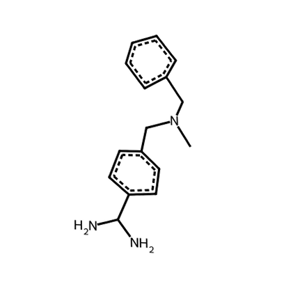 CN(Cc1ccccc1)Cc1ccc(C(N)N)cc1